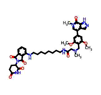 COc1cc(-c2cn(C)c(=O)c3[nH]ncc23)cc(OC)c1CN(C)CC(=O)NCCCCCCCCNc1cccc2c1C(=O)N(C1CCC(=O)NC1=O)C2=O